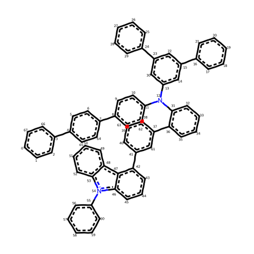 c1ccc(-c2ccc(-c3ccc(N(c4cc(-c5ccccc5)cc(-c5ccccc5)c4)c4ccccc4-c4cccc(-c5cccc6c5c5ccccc5n6-c5ccccc5)c4)cc3)cc2)cc1